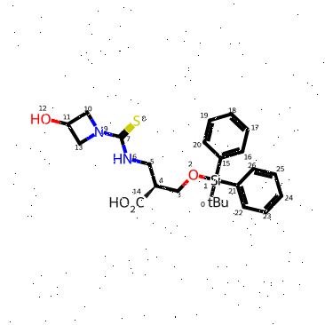 CC(C)(C)[Si](OC[C@H](CNC(=S)N1CC(O)C1)C(=O)O)(c1ccccc1)c1ccccc1